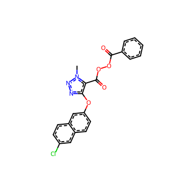 Cn1nnc(Oc2ccc3cc(Cl)ccc3c2)c1C(=O)OOC(=O)c1ccccc1